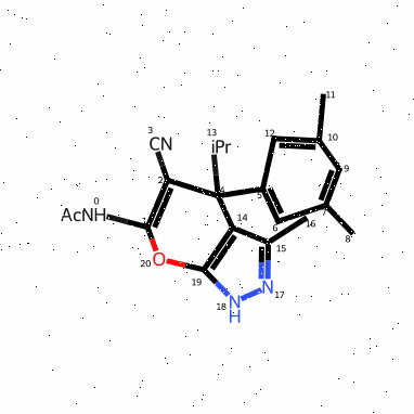 CC(=O)NC1=C(C#N)C(c2cc(C)cc(C)c2)(C(C)C)c2c(C)n[nH]c2O1